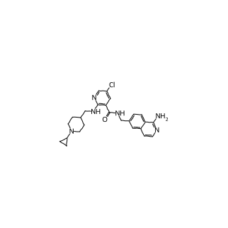 Nc1nccc2cc(CNC(=O)c3cc(Cl)cnc3NCC3CCN(C4CC4)CC3)ccc12